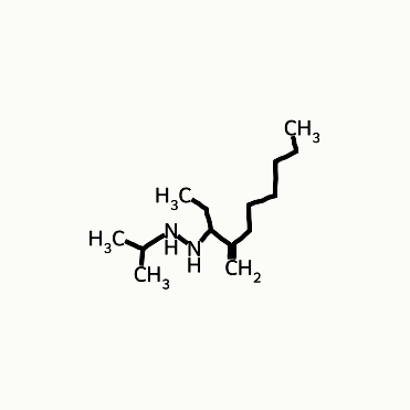 C=C(CCCCCC)C(CC)NNC(C)C